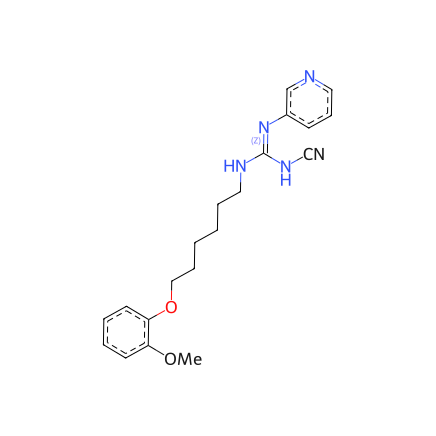 COc1ccccc1OCCCCCCN/C(=N/c1cccnc1)NC#N